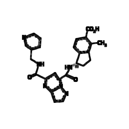 Cc1c(C(=O)O)ccc2c1CC[C@@H]2NC(=O)c1cc(C(=O)NCc2cccnc2)nc2ccnn12